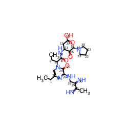 CCc1cn(C(CC)C(=O)NC(CC(=O)O)C(=O)CN2CCCC2)c(=O)c(NCC(=N)C(C)=N)n1